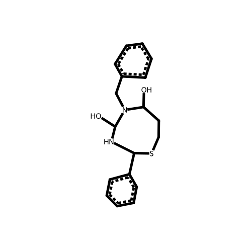 OC1CCSC(c2ccccc2)NC(O)N1Cc1ccccc1